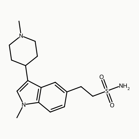 CN1CCC(c2cn(C)c3ccc(CCS(N)(=O)=O)cc23)CC1